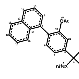 CCCCCCC(C)(C)c1ccc(-c2cccc3ccccc23)c(OC(C)=O)c1